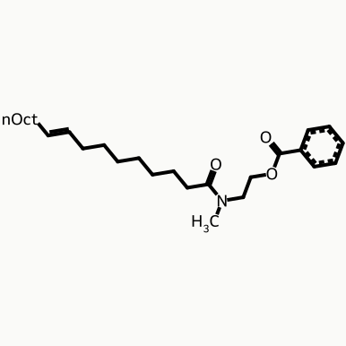 CCCCCCCCC=CCCCCCCCC(=O)N(C)CCOC(=O)c1ccccc1